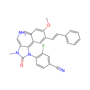 C=c1cc(OC)c(/C=C/c2ccccc2)c/c1=c1/c(=C\N)n(C)c(=O)n1-c1ccc(C#N)cc1F